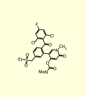 CCS(=O)(=O)Cc1ccc(C(=O)c2c(Cl)cc(F)cc2Cl)c(-c2cn(C)c(=O)cc2OC(=O)NC)c1